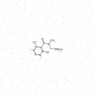 C#CCN(C)C(=O)c1c(Cl)ncnc1Cl